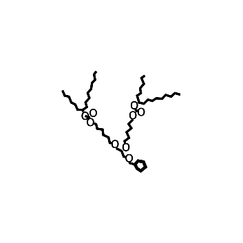 CCCCCCCCCC(CCCCCC)OC(=O)OCCCCCCOCC(COCc1ccccc1)OCCCCCCOC(=O)OC(CCCCCC)CCCCCCCCC